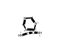 N=C=C=N.c1ncncn1